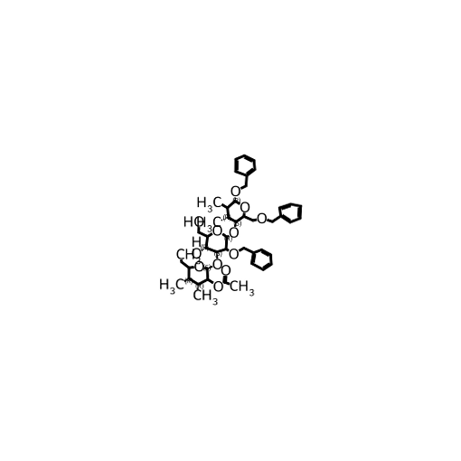 CCC1O[C@@H](O[C@@H]2C(OCc3ccccc3)[C@H](O[C@@H]3C(COCc4ccccc4)O[C@@H](OCc4ccccc4)C(C)[C@H]3C)OC(CO)[C@H]2O)C(OC(C)=O)[C@H](C)[C@H]1C